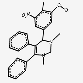 CCOc1cc(C2C(c3ccccc3)=C(c3ccccc3)N(C)CN2C)cc([N+](=O)[O-])c1O